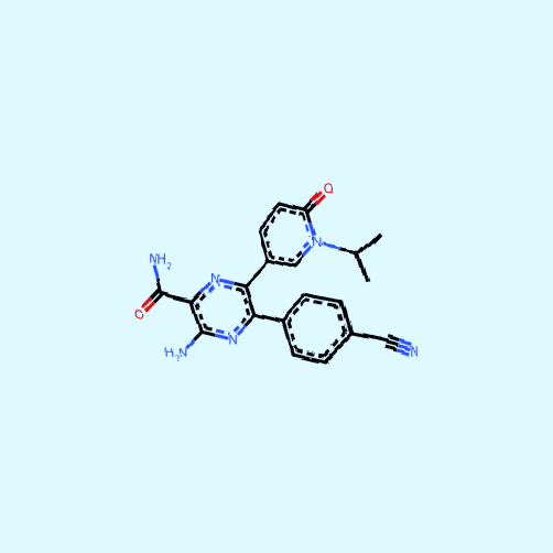 CC(C)n1cc(-c2nc(C(N)=O)c(N)nc2-c2ccc(C#N)cc2)ccc1=O